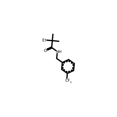 CCC(C)(C)C(=O)NCc1cccc(C(F)(F)F)c1